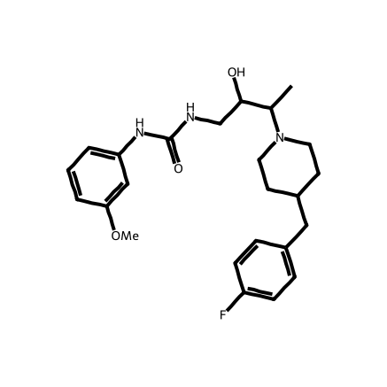 COc1cccc(NC(=O)NCC(O)C(C)N2CCC(Cc3ccc(F)cc3)CC2)c1